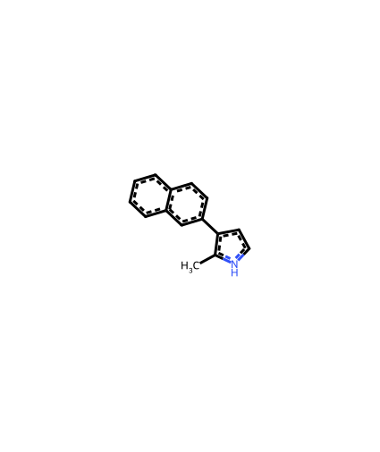 Cc1[nH]ccc1-c1ccc2ccccc2c1